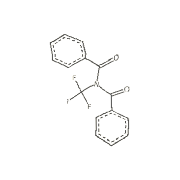 O=C(c1ccccc1)N(C(=O)c1ccccc1)C(F)(F)F